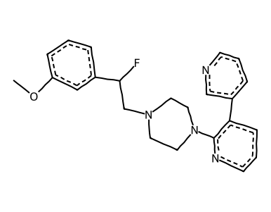 COc1cccc(C(F)CN2CCN(c3ncccc3-c3cccnc3)CC2)c1